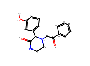 COc1cccc(C2C(=O)NCCN2CC(=O)c2ccccc2)c1